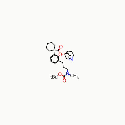 CN(CCCc1cccc(C2(C(=O)OC3CN4CCC3CC4)CCCCC2)c1)C(=O)OC(C)(C)C